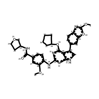 COc1nc2ccc(-c3c[nH]c4nc(Nc5ccc(C(=O)NC6CCOC6)cc5OC)nc(OC5CCCC5)c34)cc2o1